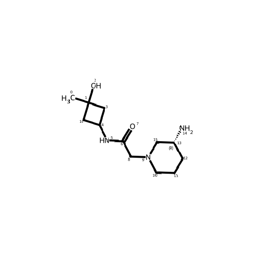 CC1(O)CC(NC(=O)CN2CCC[C@@H](N)C2)C1